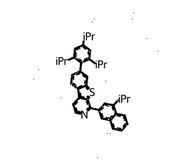 CC(C)c1cc(C(C)C)c(-c2ccc3c(c2)sc2c(-c4cc(C(C)C)c5ccccc5c4)nccc23)c(C(C)C)c1